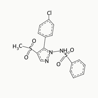 CS(=O)(=O)c1cnn(NS(=O)(=O)c2ccccc2)c1-c1ccc(Cl)cc1